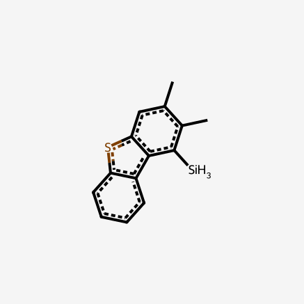 Cc1cc2sc3ccccc3c2c([SiH3])c1C